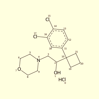 Cl.OC(CN1CCOCC1)C1(c2ccc(Cl)c(Cl)c2)CCC1